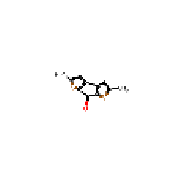 Cc1cc2c(s1)C(=O)c1sc(C)cc1-2